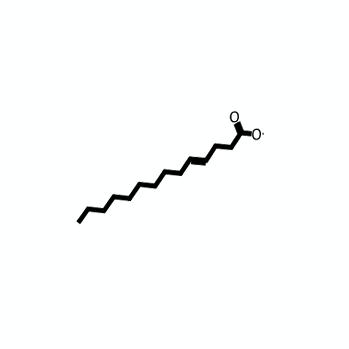 CCCCCCCCCC=CCCC([O])=O